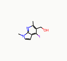 Cc1nc2c(ccn2C)c(I)c1CO